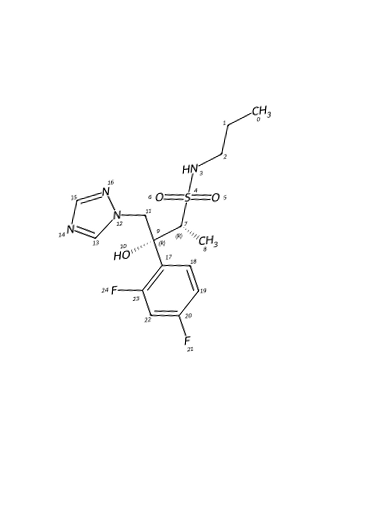 CCCNS(=O)(=O)[C@H](C)[C@](O)(Cn1cncn1)c1ccc(F)cc1F